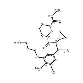 COCCCOc1cc(C(C)N(C(=O)[C@H]2CN(C(=O)OC(C)(C)C)CCO2)C2CC2)cc(Cl)c1OC